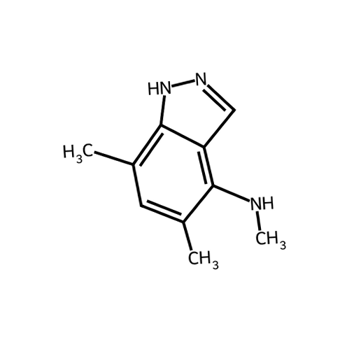 CNc1c(C)cc(C)c2[nH]ncc12